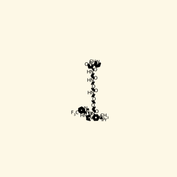 CC(C)N(C)[C@@H]1CC[C@H](N2CC[C@H](Nc3ncnc4ccc(C(F)(F)F)cc34)C2=O)[C@H](NC(=O)CCOCCOCCNC(=O)COCCNC(=O)CCNC(=O)[C@H]2CC(=O)N(C)[C@@H]2c2cccnc2)C1